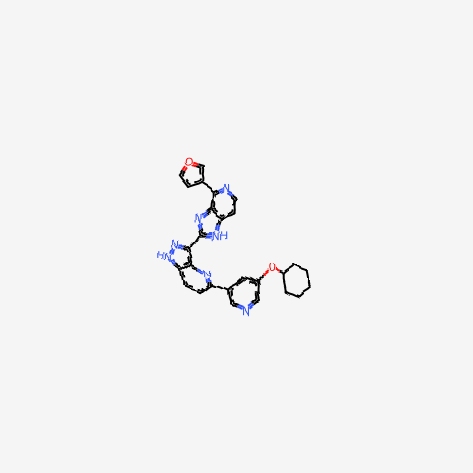 c1cc2[nH]c(-c3n[nH]c4ccc(-c5cncc(OC6CCCCC6)c5)nc34)nc2c(-c2ccoc2)n1